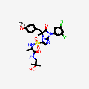 CC(NS(=O)(=O)c1cnc2n1C(C)(Cc1ccc(OC(F)(F)F)cc1)C(=O)N2c1cc(Cl)cc(Cl)c1)C(=O)NCC(C)(C)O